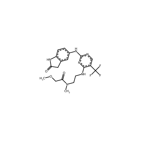 COCC(=O)N(C)CCNc1nc(Nc2ccc3c(c2)CC(=O)N3)ncc1C(F)(F)F